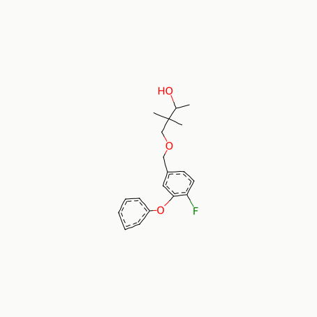 CC(O)C(C)(C)COCc1ccc(F)c(Oc2ccccc2)c1